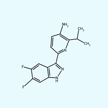 CC(C)c1nc(-c2n[nH]c3cc(F)c(F)cc23)ccc1N